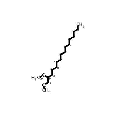 CCCCCCCCCCCCCCC(COC)O[SiH3]